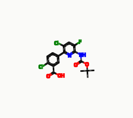 CC(C)(C)OC(=O)Nc1nc(-c2ccc(Cl)c(C(=O)O)c2)c(Cl)cc1F